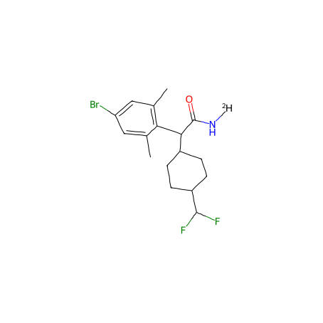 [2H]NC(=O)C(c1c(C)cc(Br)cc1C)C1CCC(C(F)F)CC1